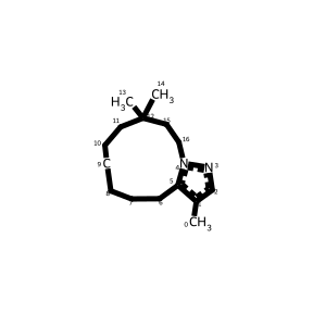 Cc1cnn2c1CCCCCCC(C)(C)CC2